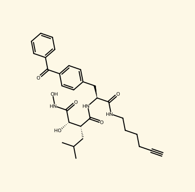 C#CCCCCNC(=O)[C@H](Cc1ccc(C(=O)c2ccccc2)cc1)NC(=O)[C@H](CC(C)C)[C@H](O)C(=O)NO